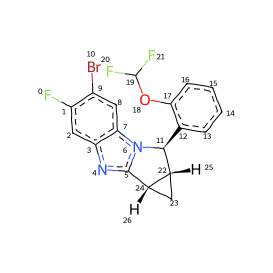 Fc1cc2nc3n(c2cc1Br)[C@@H](c1ccccc1OC(F)F)[C@@H]1C[C@H]31